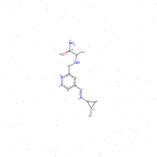 CC(NCc1cc(C=NC2CC2C)ccn1)C(N)=O